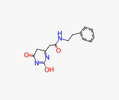 O=C1CC(CC(=O)NCCc2ccccc2)=NC(O)=N1